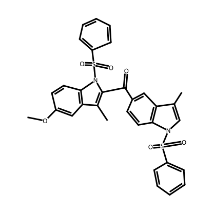 COc1ccc2c(c1)c(C)c(C(=O)c1ccc3c(c1)c(C)cn3S(=O)(=O)c1ccccc1)n2S(=O)(=O)c1ccccc1